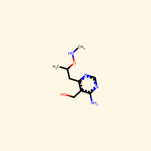 CNOC(C)Cc1ncnc(N)c1CO